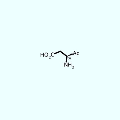 CC(=O)[C@@H](N)CC(=O)O